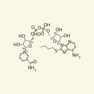 CCCCSc1nc2c(N)ccnc2n1[C@@H]1O[C@H](COP(=O)(O)OP(=O)(O)OC[C@H]2O[C@@H]([n+]3cccc(C(N)=O)c3)C(O)C2O)[C@H](O)C1O